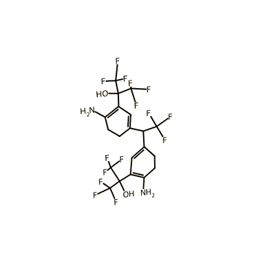 NC1=C(C(O)(C(F)(F)F)C(F)(F)F)C=C(C(C2=CC(C(O)(C(F)(F)F)C(F)(F)F)=C(N)CC2)C(F)(F)F)CC1